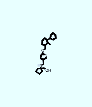 Cc1c(COc2ccc(CNC3(CO)CCCC3)cn2)cccc1-c1ccccc1